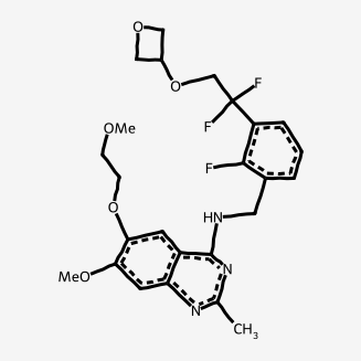 COCCOc1cc2c(NCc3cccc(C(F)(F)COC4COC4)c3F)nc(C)nc2cc1OC